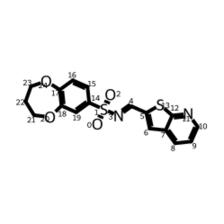 O=S(=O)(/N=C/c1cc2cccnc2s1)c1ccc2c(c1)OCCCO2